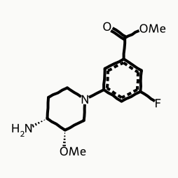 COC(=O)c1cc(F)cc(N2CC[C@@H](N)[C@@H](OC)C2)c1